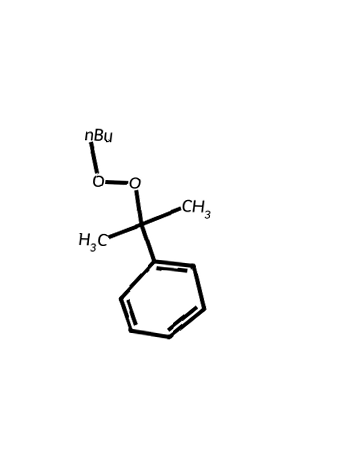 [CH2]CCCOOC(C)(C)c1ccccc1